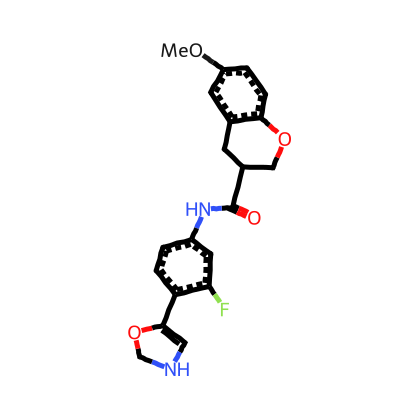 COc1ccc2c(c1)CC(C(=O)Nc1ccc(C3=CNCO3)c(F)c1)CO2